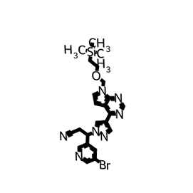 C[Si](C)(C)CCOCn1ccc2c(-c3cnn(C(CC#N)c4cncc(Br)c4)c3)ncnc21